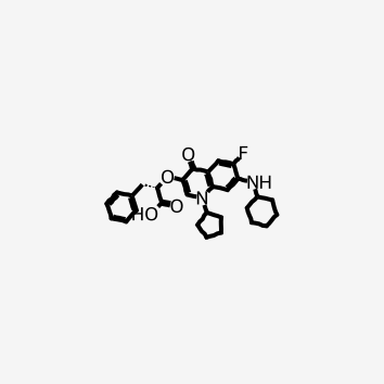 O=C(O)[C@H](Cc1ccccc1)Oc1cn(C2CCCC2)c2cc(NC3CCCCC3)c(F)cc2c1=O